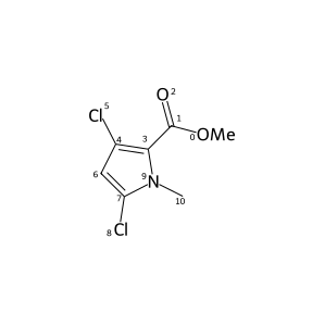 COC(=O)c1c(Cl)cc(Cl)n1C